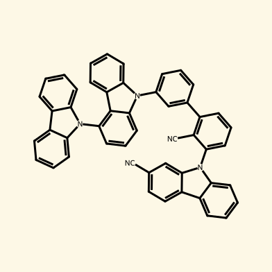 N#Cc1ccc2c3ccccc3n(-c3cccc(-c4cccc(-n5c6ccccc6c6c(-n7c8ccccc8c8ccccc87)cccc65)c4)c3C#N)c2c1